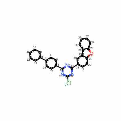 Clc1nc(-c2ccc(-c3ccccc3)cc2)nc(-c2ccc3oc4ccccc4c3c2)n1